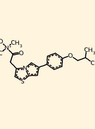 CC(C)COc1ccc(-c2cc3scc(CC(=O)[N+](C)(C)O)n3c2)cc1